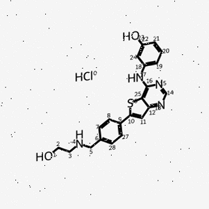 Cl.OCCNCc1ccc(-c2cc3ncnc(Nc4cccc(O)c4)c3s2)cc1